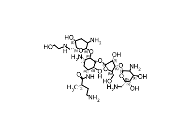 C[C@@H](CCN)C(=O)N[C@@H]1C[C@H](N)[C@@H](O[C@H]2O[C@H](CNCCO)[C@@H](O)CC2N)[C@H](O[C@@H]2O[C@H](CO)[C@@H](O[C@H]3O[C@@H](CN)[C@@H](O)[C@H](O)C3N)[C@H]2O)[C@H]1O